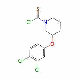 S=C(Cl)N1CCCC(Oc2ccc(Cl)c(Cl)c2)C1